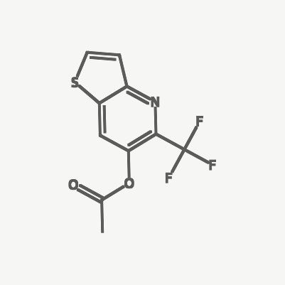 CC(=O)Oc1cc2sccc2nc1C(F)(F)F